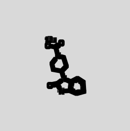 CC(C)(C)OC(=O)N1CCC(N2C(=O)[N]c3ccccc32)CC1